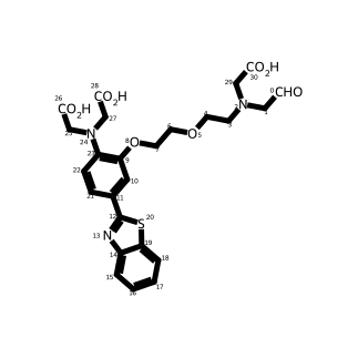 O=CCN(CCOCCOc1cc(-c2nc3ccccc3s2)ccc1N(CC(=O)O)CC(=O)O)CC(=O)O